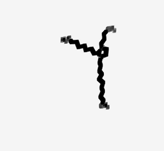 CCCCCCCCCCCN1C=CN(CCCC)C1CCCCCCCC